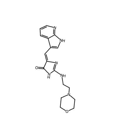 O=C1NC(NCCN2CCOCC2)=NC1=Cc1c[nH]c2ncccc12